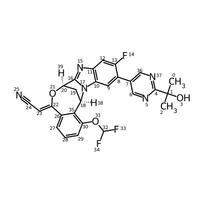 CC(C)(O)c1ncc(-c2cc3c(cc2F)nc2n3[C@@H]3C[C@H]2OC(=CC#N)c2cccc(OC(F)F)c23)cn1